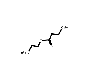 CCCCCCCOC(=O)CCOC